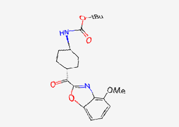 COc1cccc2oc(C(=O)[C@H]3CC[C@H](NC(=O)OC(C)(C)C)CC3)nc12